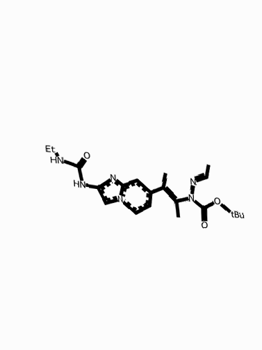 C/C=N/N(C(=O)OC(C)(C)C)/C(C)=C(\C)c1ccn2cc(NC(=O)NCC)nc2c1